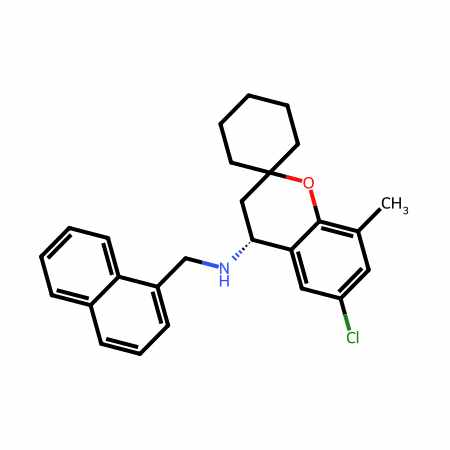 Cc1cc(Cl)cc2c1OC1(CCCCC1)C[C@H]2NCc1cccc2ccccc12